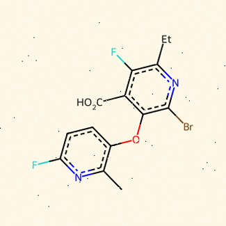 CCc1nc(Br)c(Oc2ccc(F)nc2C)c(C(=O)O)c1F